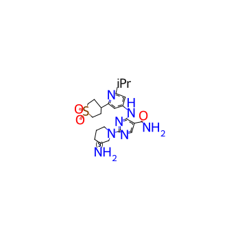 CC(C)c1cc(Nc2nc(N3CCC[C@H](N)C3)ncc2C(N)=O)cc(C2CCS(=O)(=O)CC2)n1